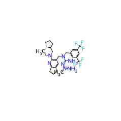 CCN(CC1CCCC1)c1nc2c(cc1CN(Cc1cc(C(F)(F)F)cc(C(F)(F)F)c1)/C(N)=N/N(C)N)CCC2